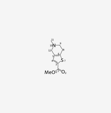 COC(=O)c1cc2c(s1)CCN(C)C2